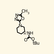 Cc1nnc(N2CCC[C@@H](NC(=O)OC(C)(C)C)C2)o1